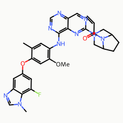 C=CC(=O)N1C2CCC1CN(c1ncc3ncnc(Nc4cc(C)c(Oc5cc(F)c6c(c5)ncn6C)cc4OC)c3n1)C2